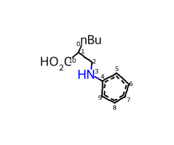 CCCCC(CNc1ccccc1)C(=O)O